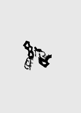 CCC1=[C]([Ti+2](=[C](C)C)[c]2cccc3c2Cc2ccccc2-3)CC=C1.[Cl-].[Cl-]